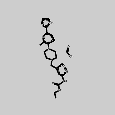 CCNC(=O)Nc1cc(CN2CCN(c3ccc(-c4ncc[nH]4)nc3C)CC2)ccn1.O=CO